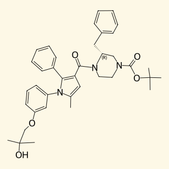 Cc1cc(C(=O)N2CCN(C(=O)OC(C)(C)C)C[C@H]2Cc2ccccc2)c(-c2ccccc2)n1-c1cccc(OCC(C)(C)O)c1